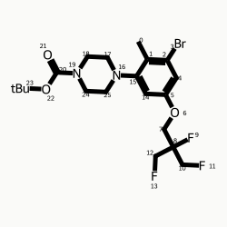 Cc1c(Br)cc(OCC(F)(CF)CF)cc1N1CCN(C(=O)OC(C)(C)C)CC1